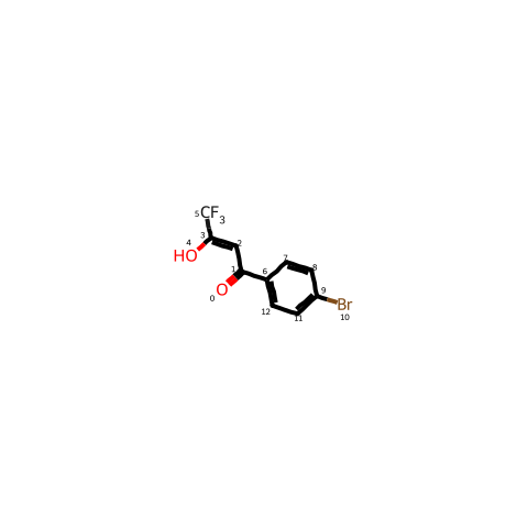 O=C(C=C(O)C(F)(F)F)c1ccc(Br)cc1